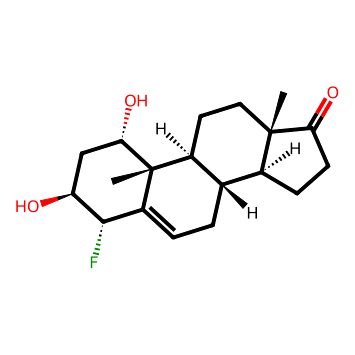 C[C@]12C(=CC[C@@H]3[C@@H]1CC[C@]1(C)C(=O)CC[C@@H]31)[C@H](F)[C@@H](O)C[C@@H]2O